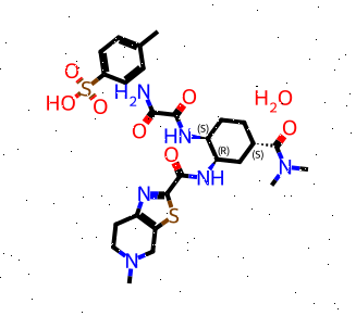 CN1CCc2nc(C(=O)N[C@@H]3C[C@@H](C(=O)N(C)C)CC[C@@H]3NC(=O)C(N)=O)sc2C1.Cc1ccc(S(=O)(=O)O)cc1.O